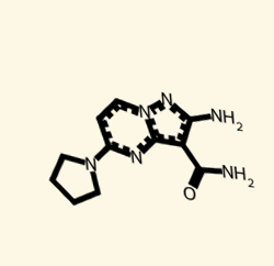 NC(=O)c1c(N)nn2ccc(N3CCCC3)nc12